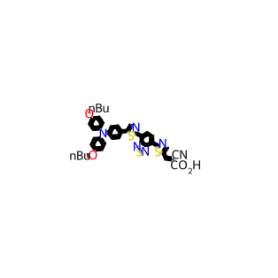 CCCCOc1ccc(N(c2ccc(OCCCC)cc2)c2ccc(-c3cnc(-c4ccc(-c5ncc(/C=C(\C#N)C(=O)O)s5)c5nsnc45)s3)cc2)cc1